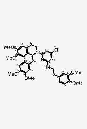 COc1ccc(CCNc2nc(Cl)nc(N3CCc4cc(OC)c(OC)cc4C3Cc3ccc(OC)c(OC)c3)n2)cc1OC